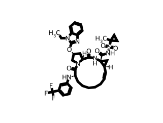 CCn1c(O[C@@H]2C[C@H]3C(=O)N[C@]4(C(=O)NS(=O)(=O)C5(C)CC5)C[C@H]4/C=C\CCCCC[C@H](Nc4cccc(C(F)(F)F)c4)C(=O)N3C2)nc2ccccc21